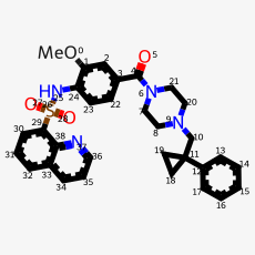 COc1cc(C(=O)N2CCN(CC3(c4ccccc4)CC3)CC2)ccc1NS(=O)(=O)c1cccc2cccnc12